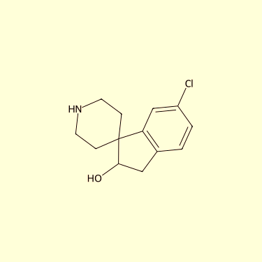 OC1Cc2ccc(Cl)cc2C12CCNCC2